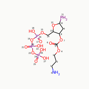 NCCCOC(=O)OC1CC(P)OC1COP(=O)(O)OP(=O)(O)OP(=O)(O)O